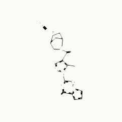 Cc1c(C(=O)N2CC3CC2C[C@H]3C#N)cnn1-c1nn2cccc2c(=O)[nH]1